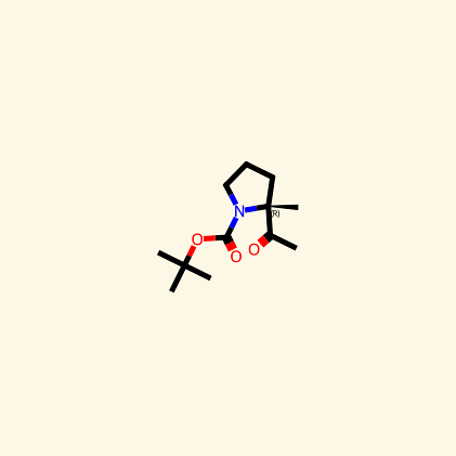 CC(=O)[C@@]1(C)CCCN1C(=O)OC(C)(C)C